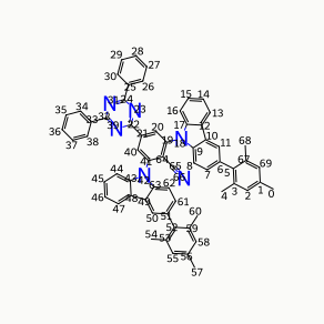 Cc1cc(C)c(-c2ccc3c(c2)c2ccccc2n3-c2cc(-c3nc(-c4ccccc4)nc(-c4ccccc4)n3)cc(-n3c4ccccc4c4cc(-c5c(C)cc(C)cc5C)ccc43)c2C#N)c(C)c1